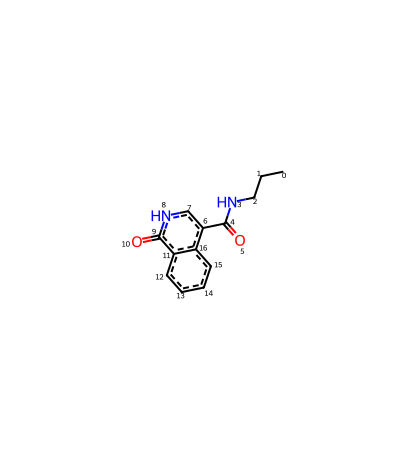 CCCNC(=O)c1c[nH]c(=O)c2ccccc12